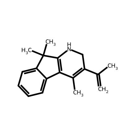 C=C(C)C1=C(C)C2=C(NC1)C(C)(C)c1ccccc12